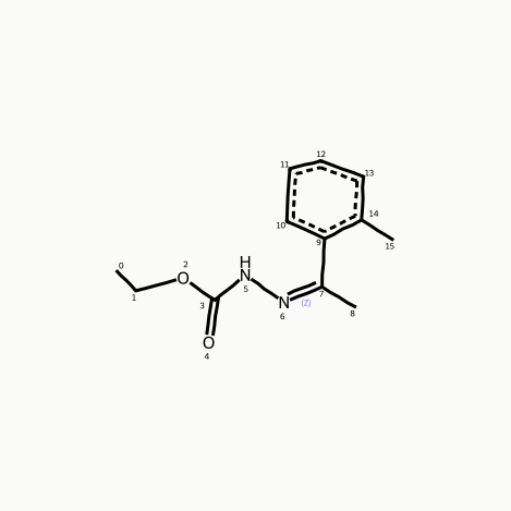 CCOC(=O)N/N=C(/C)c1ccccc1C